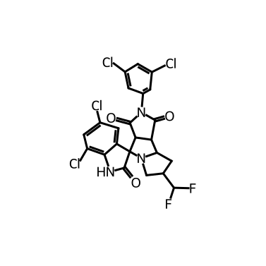 O=C1C2C3CC(C(F)F)CN3C3(C(=O)Nc4c(Cl)cc(Cl)cc43)C2C(=O)N1c1cc(Cl)cc(Cl)c1